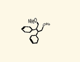 COCC(C1CC=CCC1)C(COC)C1CC=CCC1